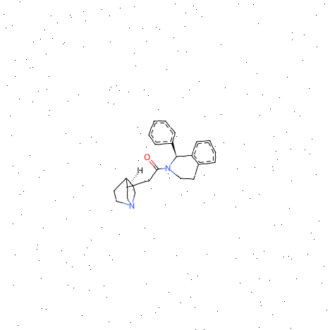 O=C(C[C@H]1CN2CCC1CC2)N1CCc2ccccc2[C@@H]1c1ccccc1